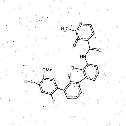 COc1nc(-c2cccc(-c3cccc(NC(=O)c4ccnn(C)c4=O)c3Cl)c2Cl)c(F)cc1C=O